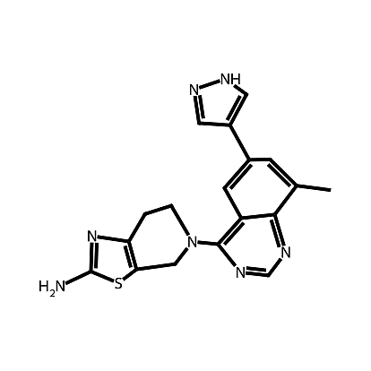 Cc1cc(-c2cn[nH]c2)cc2c(N3CCc4nc(N)sc4C3)ncnc12